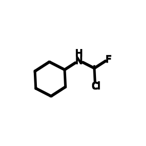 F[C](Cl)NC1CCCCC1